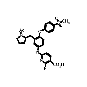 CCc1nc(Nc2ccc(Oc3ccc(S(C)(=O)=O)cc3)c(CC3CCCN3C(C)=O)c2)ccc1C(=O)O